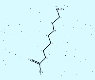 C[CH]C(=O)CCCCCCCCCCCCC